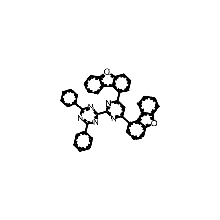 c1ccc(-c2nc(-c3ccccc3)nc(-c3nc(-c4cccc5oc6ccccc6c45)cc(-c4cccc5oc6ccccc6c45)n3)n2)cc1